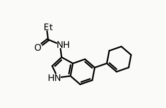 CCC(=O)Nc1c[nH]c2ccc(C3=CCCCC3)cc12